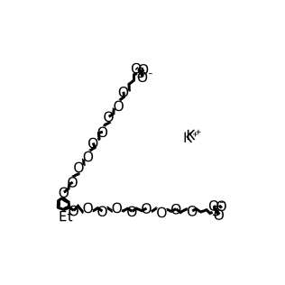 CCc1ccc(OCCOCCOCCOCCOCCOCCOCCOCCOCCCCS(=O)(=O)[O-])cc1OCCOCCOCCOCCOCCOCCOCCOCCOCCCCS(=O)(=O)[O-].[K+].[K+]